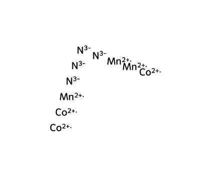 [Co+2].[Co+2].[Co+2].[Mn+2].[Mn+2].[Mn+2].[N-3].[N-3].[N-3].[N-3]